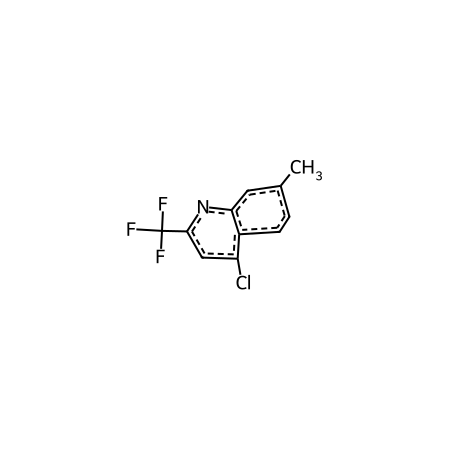 Cc1ccc2c(Cl)cc(C(F)(F)F)nc2c1